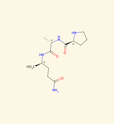 C[C@H](NC(=O)[C@@H]1CCCN1)C(=O)N[C@@H](CCC(N)=O)C(=O)O